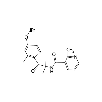 Cc1cc(OC(C)C)ccc1C(=O)C(C)(C)NC(=O)c1cccnc1C(F)(F)F